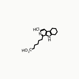 Cl.O=C(O)CCCCCc1nccc2c3c([nH]c12)CCCC3